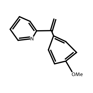 C=C(c1ccc(OC)cc1)c1ccccn1